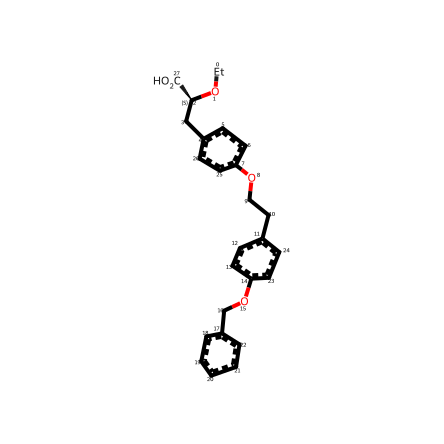 CCO[C@@H](Cc1ccc(OCCc2ccc(OCc3ccccc3)cc2)cc1)C(=O)O